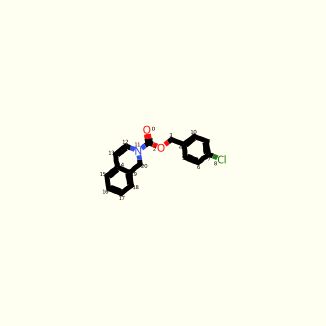 O=C(OCc1ccc(Cl)cc1)N1C=Cc2ccccc2C1